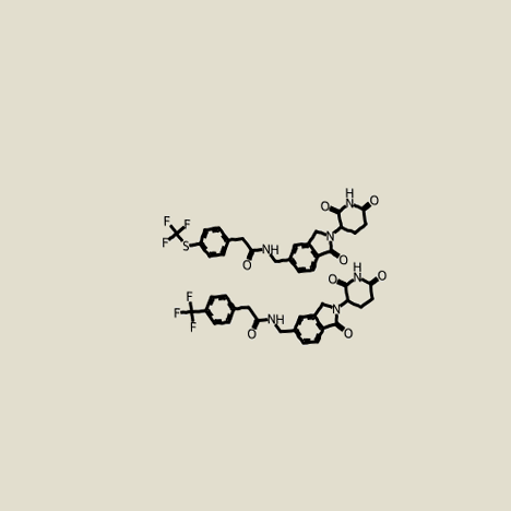 O=C(Cc1ccc(C(F)(F)F)cc1)NCc1ccc2c(c1)CN(C1CCC(=O)NC1=O)C2=O.O=C(Cc1ccc(SC(F)(F)F)cc1)NCc1ccc2c(c1)CN(C1CCC(=O)NC1=O)C2=O